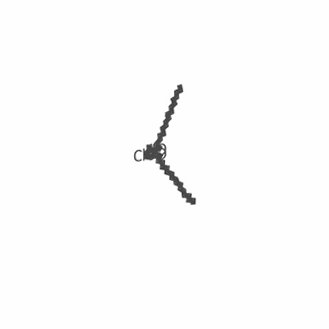 CCCCCCCCC=CCCCCCCCC(=O)c1ccc[n+](C)c1C(=O)CCCCCCCC=CCCCCCCCC.[Cl-]